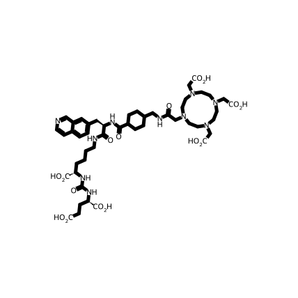 O=C(O)CC[C@H](NC(=O)N[C@@H](CCCCNC(=O)[C@@H](Cc1ccc2ccncc2c1)NC(=O)C1CCC(CNC(=O)CN2CCN(CC(=O)O)CCN(CC(=O)O)CCN(CC(=O)O)CC2)CC1)C(=O)O)C(=O)O